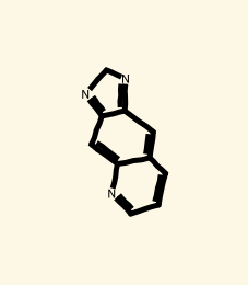 c1cnc2cc3c(cc2c1)=NCN=3